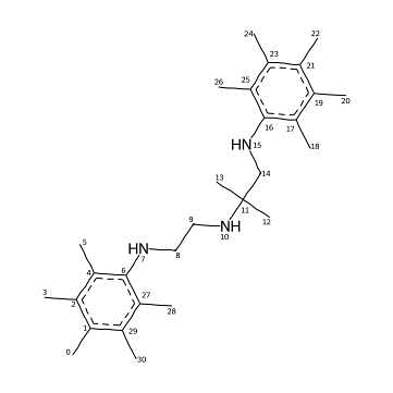 Cc1c(C)c(C)c(NCCNC(C)(C)CNc2c(C)c(C)c(C)c(C)c2C)c(C)c1C